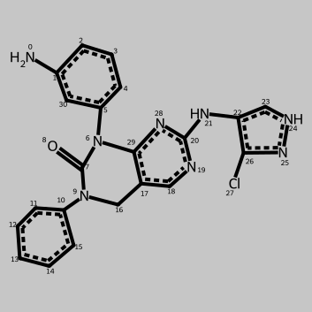 Nc1cccc(N2C(=O)N(c3ccccc3)Cc3cnc(Nc4c[nH]nc4Cl)nc32)c1